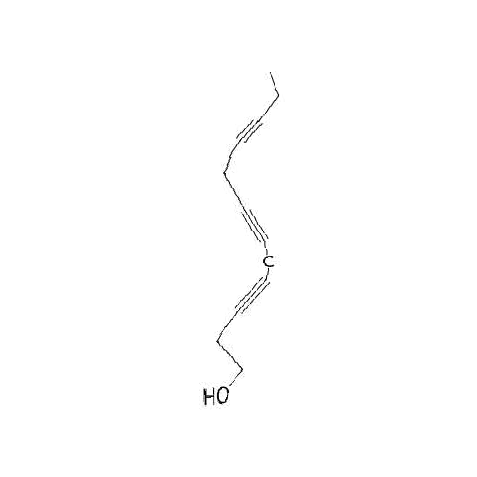 CCC#CCC#CCC#CCCO